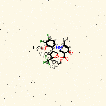 CCOC(=O)c1c([C@@H]2O[C@@](C)(C(F)(F)F)[C@@H](C)[C@H]2c2ccc(F)c(F)c2OC)[nH]c(C)cc1=O